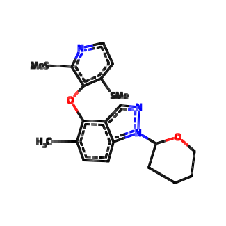 CSc1ccnc(SC)c1Oc1c(C)ccc2c1cnn2C1CCCCO1